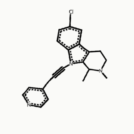 CC1c2c(c3cc(Cl)ccc3n2C#Cc2ccncc2)CCN1C